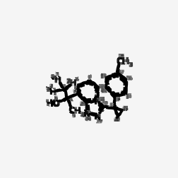 [2H]C([2H])([2H])C(C)(O)c1cccn2c(C3(c4ccc(C)cc4)CC3)nnc12